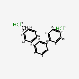 C.Cl.Cl.c1ccccc1.c1ccccc1.c1ccccc1